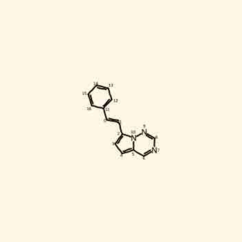 C(=Cc1ccc2cncnn12)c1ccccc1